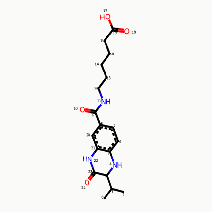 CC(C)C1Nc2ccc(C(=O)NCCCCCC(=O)O)cc2NC1=O